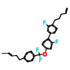 C=CCCCc1ccc(-c2ccc(OC(F)(F)c3ccc(CC/C=C/C)cc3)cc2F)cc1F